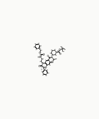 CC(C)N(C(=O)c1cc2c(cc1Br)O[C@@](C)(c1ccccc1)C(=O)N2CCNC(=O)OCc1ccccc1)[C@@H]1CCCN(C(=O)OC(C)(C)C)C1